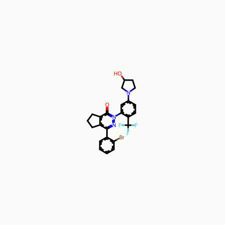 O=c1c2c(c(-c3ccccc3Br)nn1-c1cc(N3CCC(O)C3)ccc1C(F)(F)F)CCC2